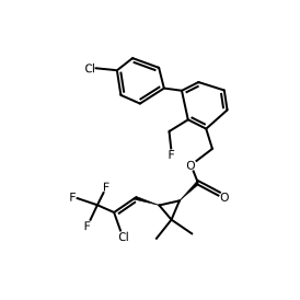 CC1(C)[C@H](C(=O)OCc2cccc(-c3ccc(Cl)cc3)c2CF)[C@@H]1/C=C(\Cl)C(F)(F)F